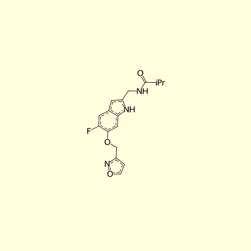 CC(C)C(=O)NCc1cc2cc(F)c(OCc3ccon3)cc2[nH]1